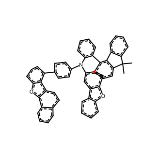 CC1(C)c2ccccc2-c2c(-c3ccccc3N(c3ccc(-c4cccc5oc6c7ccccc7ccc6c45)cc3)c3ccc4oc5ccccc5c4c3)cccc21